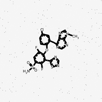 Cn1cnc2c(-c3cc(Cl)ccc3Oc3c(F)cc(S(N)(=O)=O)c(F)c3-c3ncns3)ncnc21